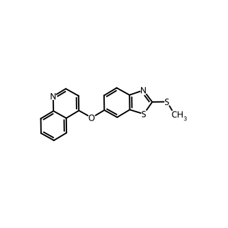 CSc1nc2ccc(Oc3ccnc4ccccc34)cc2s1